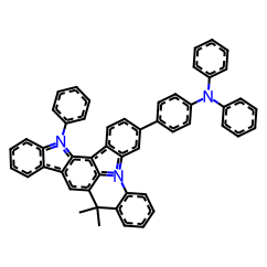 CC1(C)c2ccccc2-n2c3cc(-c4ccc(N(c5ccccc5)c5ccccc5)cc4)ccc3c3c2c1cc1c2ccccc2n(-c2ccccc2)c13